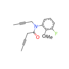 CC#CCC(=O)N(CC#CC)c1cccc(F)c1OC